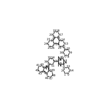 c1ccc(-c2nc(-c3cccc(-c4ccc5c6ccccc6c6ccccc6c5c4)c3)nc(-c3cccc(-n4c5ccccc5c5ccccc54)c3)n2)cc1